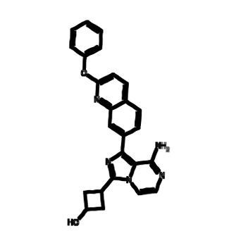 Nc1nccn2c(C3CC(O)C3)nc(-c3ccc4ccc(Oc5ccccc5)nc4c3)c12